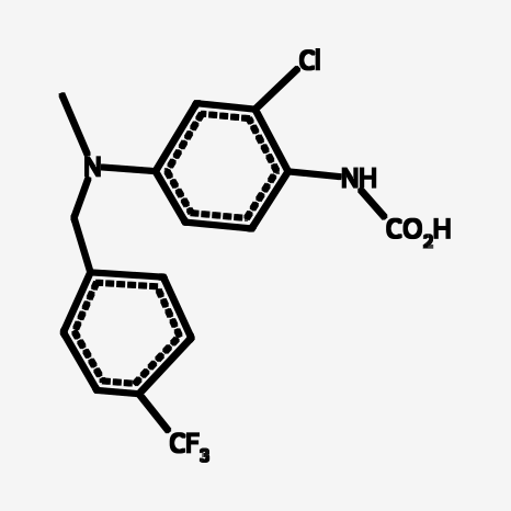 CN(Cc1ccc(C(F)(F)F)cc1)c1ccc(NC(=O)O)c(Cl)c1